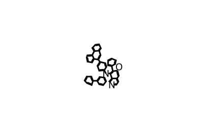 c1ccc(-c2cccc(N(c3ccc(-c4cc5ccccc5c5ccccc45)cc3)c3c4cnccc4cc4oc5ccccc5c34)c2)cc1